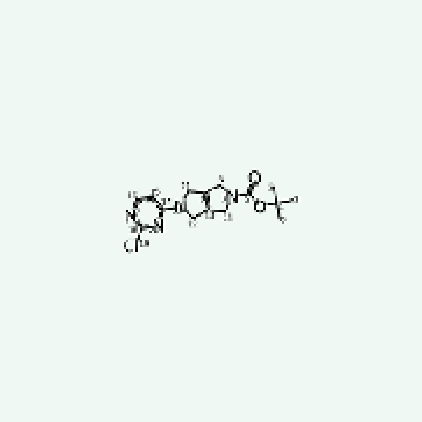 CC(C)(C)OC(=O)N1CC2=C(C1)CN(c1ccnc(Cl)n1)C2